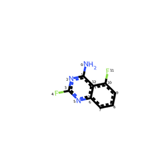 Nc1nc(F)nc2cccc(F)c12